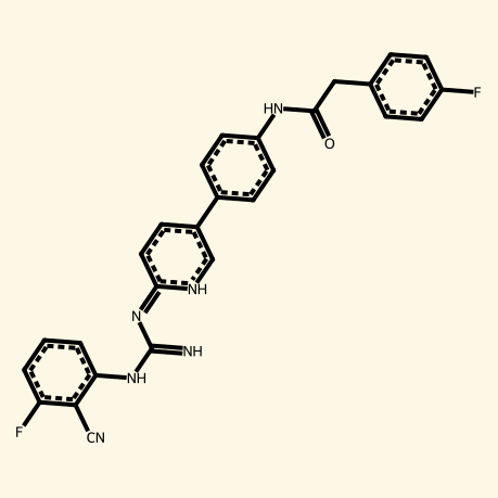 N#Cc1c(F)cccc1NC(=N)/N=c1/ccc(-c2ccc(NC(=O)Cc3ccc(F)cc3)cc2)c[nH]1